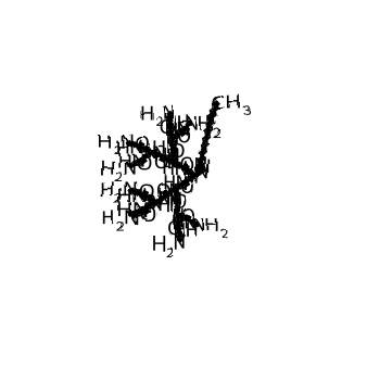 CCCCCCCCCCCCCCCCCCn1cc(CN(CCC(=O)NCCN(CCC(=O)NCCN(CCC(=O)NCCN)CCC(=O)NCCN)CCC(=O)NCCN(CCC(=O)NCCN)CCC(=O)NCCN)CCC(=O)NCCN(CCC(=O)NCCN(CCC(=O)NCCN)CCC(=O)NCCN)CCC(=O)NCCN(CCC(=O)NCCN)CCC(=O)NCCN)nn1